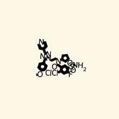 COc1ccc(-c2nc(-c3ccncc3)nn2CCN(C(=O)c2cc(S(N)(=O)=O)c(F)cc2Cl)C2CCCC2)cc1Cl